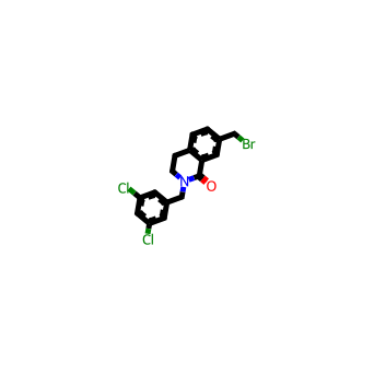 O=C1c2cc(CBr)ccc2CCN1Cc1cc(Cl)cc(Cl)c1